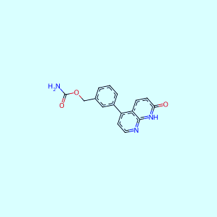 NC(=O)OCc1cccc(-c2ccnc3[nH]c(=O)ccc23)c1